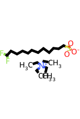 CC[N+](CC)(CC)CC.O=S(=O)([O-])CCCCCCCCCCCC(F)F